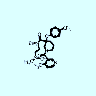 CCN(CCN(C)C)C(=O)C1(Oc2ccc(C(F)(F)F)cc2)CCCN(C(=O)c2cnccc2C(F)(F)F)C1